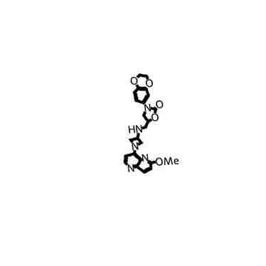 COc1ccc2nccc(N3CC(NCC4CN(c5ccc6c(c5)OCCO6)C(=O)O4)C3)c2n1